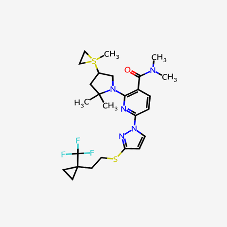 CN(C)C(=O)c1ccc(-n2ccc(SCCC3(C(F)(F)F)CC3)n2)nc1N1CC(S2(C)CC2)CC1(C)C